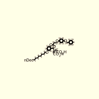 CCCCCCCCCCCCCCCCCCOc1ccc(OCCCOc2ccc(OCc3ccccc3)cc2)c(C(=O)N(CC(=O)O)CC(=O)O)c1